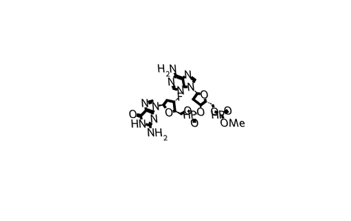 CO[PH](=O)OC[C@H]1O[C@@H](n2cnc3c(N)ncnc32)C[C@@H]1O[PH](=O)OC[C@H]1O[C@@H](n2cnc3c(=O)[nH]c(N)nc32)C[C@@H]1F